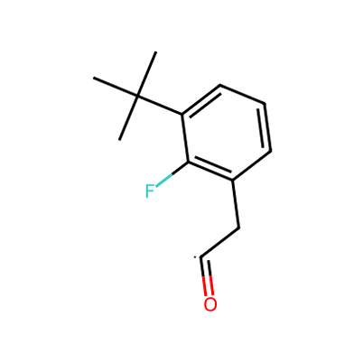 CC(C)(C)c1cccc(C[C]=O)c1F